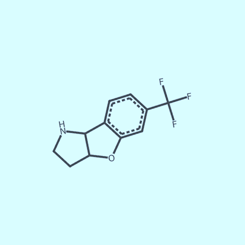 FC(F)(F)c1ccc2c(c1)OC1CCNC21